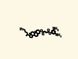 CC(C)CCCC(C)C1CCC2C3CC=C4CC(OC(=O)/C=C/C(=O)Oc5cc(N)cc(N)c5)CCC4(C)C3CCC12C